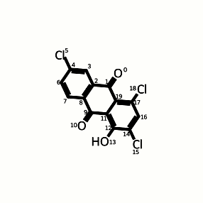 O=C1c2cc(Cl)ccc2C(=O)c2c(O)c(Cl)cc(Cl)c21